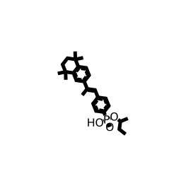 CCC(C)OP(=O)(O)c1ccc(C=C(C)c2ccc3c(c2)C(C)(C)CCC3(C)C)cc1